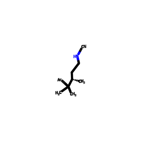 CC(=O)C(C)(C)[C@@H](C)CCNC#N